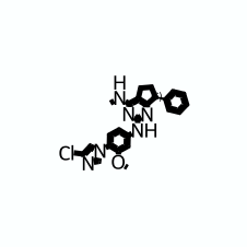 CNc1nc(Nc2ccc(-n3cnc(Cl)c3)c(OC)c2)nc2c1CC[C@H]2c1ccccc1